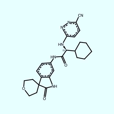 N#Cc1ccc(N[C@H](C(=O)Nc2ccc3c(c2)NC(=O)C32CCOCC2)C2CCCCC2)nn1